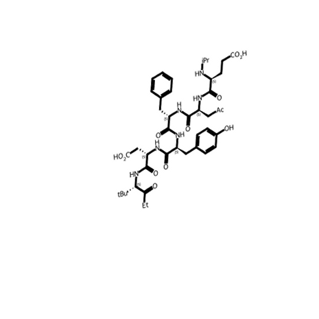 CCC(=O)[C@@H](NC(=O)[C@H](CC(=O)O)NC(=O)[C@H](Cc1ccc(O)cc1)NC(=O)[C@H](Cc1ccccc1)NC(=O)[C@H](CC(C)=O)NC(=O)[C@H](CCC(=O)O)NC(C)C)C(C)(C)C